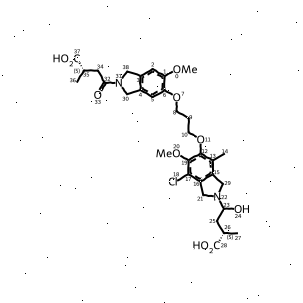 COc1cc2c(cc1OCCCOc1c(C)c3c(c(Cl)c1OC)CN(C(O)C[C@H](C)C(=O)O)C3)CN(C(=O)C[C@H](C)C(=O)O)C2